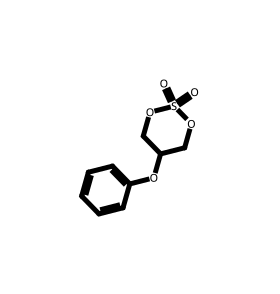 O=S1(=O)OCC(Oc2ccccc2)CO1